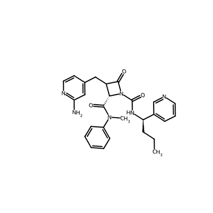 CCC[C@@H](NC(=O)N1C(=O)C(Cc2ccnc(N)c2)[C@H]1C(=O)N(C)c1ccccc1)c1cccnc1